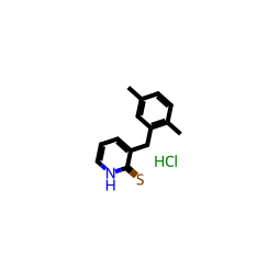 Cc1ccc(C)c(Cc2ccc[nH]c2=S)c1.Cl